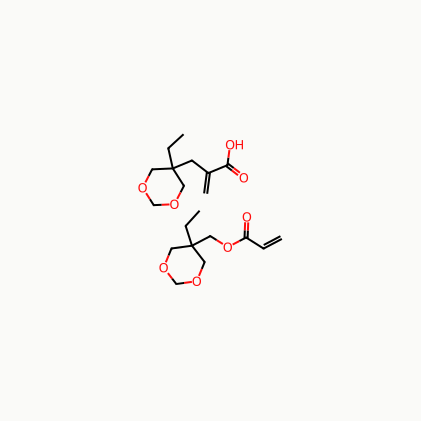 C=C(CC1(CC)COCOC1)C(=O)O.C=CC(=O)OCC1(CC)COCOC1